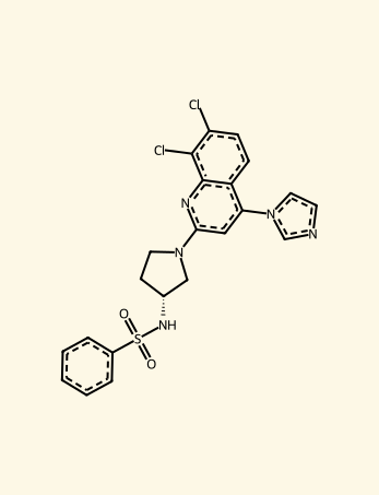 O=S(=O)(N[C@@H]1CCN(c2cc(-n3ccnc3)c3ccc(Cl)c(Cl)c3n2)C1)c1ccccc1